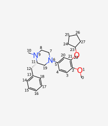 COc1ccc(N2CCN(C)[C@@H](Cc3ccccc3)C2)cc1OC1CCCC1